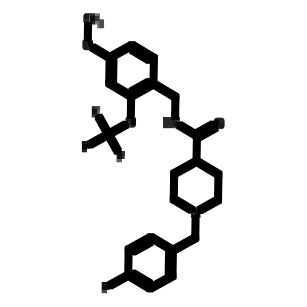 COc1ccc(CNC(=O)C2CCN(Cc3ccc(F)cc3)CC2)c(OC(F)(F)F)c1